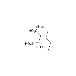 CCCCCCCCCCC[CH2][K].O=C(O)CC(C(=O)O)S(=O)(=O)O